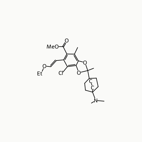 CCO/C=C/c1c(Cl)c2c(c(C)c1C(=O)OC)OC(C)(C13CCC(N(C)C)(CC1)CC3)O2